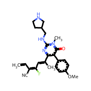 C=C/C(C#N)=C(F)\C=C(/C)c1nc(NCC2CCNC2)n(C)c(=O)c1-c1ccc(OC)cc1